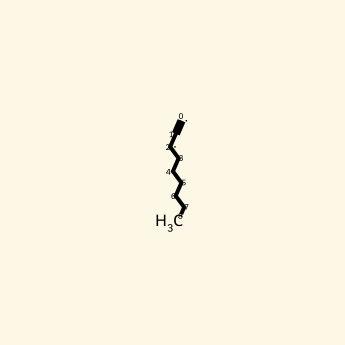 [C]#C[CH]CCCCCC